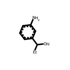 CCC(O)c1cccc(N)c1